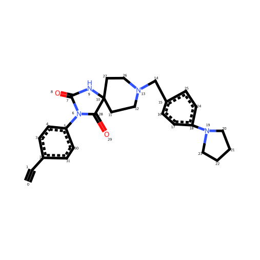 C#Cc1ccc(N2C(=O)NC3(CCN(Cc4ccc(N5CCCC5)cc4)CC3)C2=O)cc1